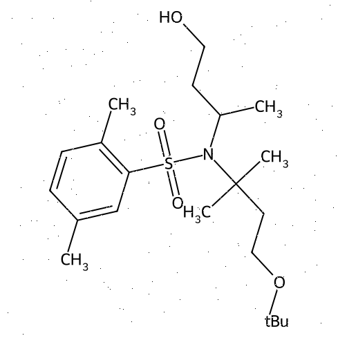 Cc1ccc(C)c(S(=O)(=O)N(C(C)CCO)C(C)(C)CCOC(C)(C)C)c1